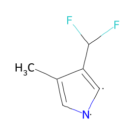 CC1=C[N][C]=C1C(F)F